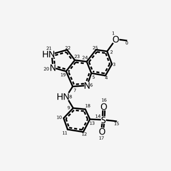 COc1ccc2nc(Nc3cccc(S(C)(=O)=O)c3)c3n[nH]cc3c2c1